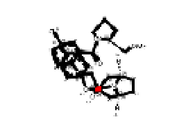 COC[C@@H]1CCCN1C(=O)c1cc(Cl)ccc1OCC(=O)N1[C@@H]2CC[C@H]1CC(Oc1ccc(F)cc1)C2